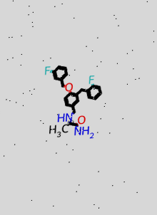 C[C@H](NCc1ccc(OCc2cccc(F)c2)c(Cc2ccccc2F)c1)C(N)=O